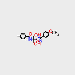 Cc1ccc(C(=O)NC(CO)(CO)c2nc(-c3ccc(OC(F)(F)F)cc3)no2)cc1